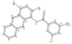 Cc1cc(C(=O)Oc2c(Br)cc(Br)c3nc4ccccc4nc23)cc(C(F)(F)F)c1